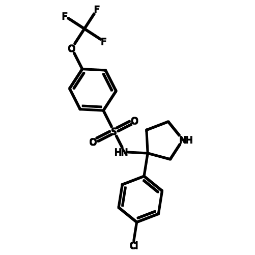 O=S(=O)(NC1(c2ccc(Cl)cc2)CCNC1)c1ccc(OC(F)(F)F)cc1